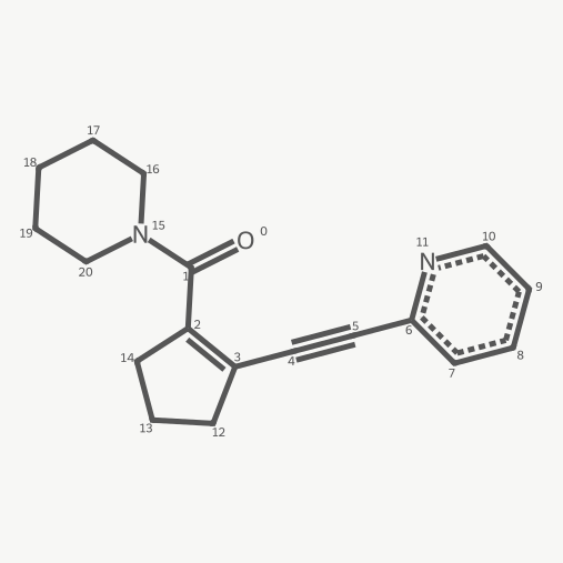 O=C(C1=C(C#Cc2ccccn2)CCC1)N1CCCCC1